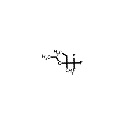 CCOC(C)(CC)C(F)(F)F